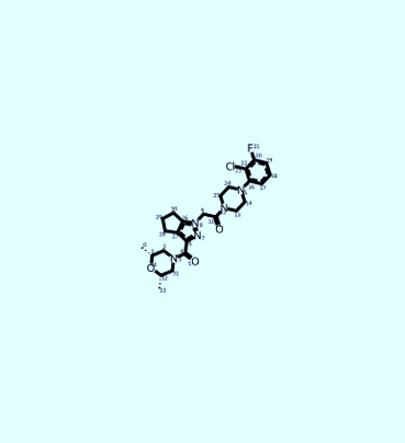 C[C@@H]1CN(C(=O)c2nn(CC(=O)N3CCN(c4cccc(F)c4Cl)CC3)c3c2CCC3)C[C@H](C)O1